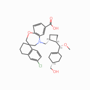 CO[C@H](C1=CC[C@@H](CO)CC1)[C@@H]1CC[C@H]1CN1CC2(CCCc3cc(Cl)ccc32)COc2ccc(C(=O)O)cc21